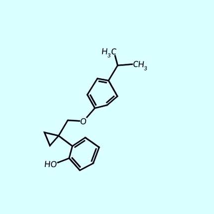 CC(C)c1ccc(OCC2(c3ccccc3O)CC2)cc1